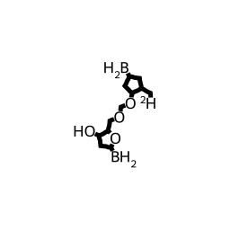 [2H]CC1CC(B)CC1OCOCC1OC(B)CC1O